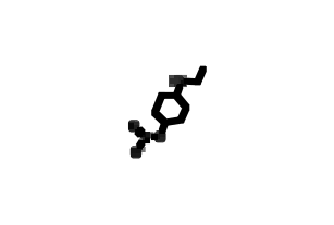 CCNC1CCC(O[N+](=O)[O-])CC1